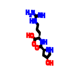 N=C(N)NCCC[C@H](NC(=O)[C@@H]1C[C@@H](O)CN1)C(=O)O